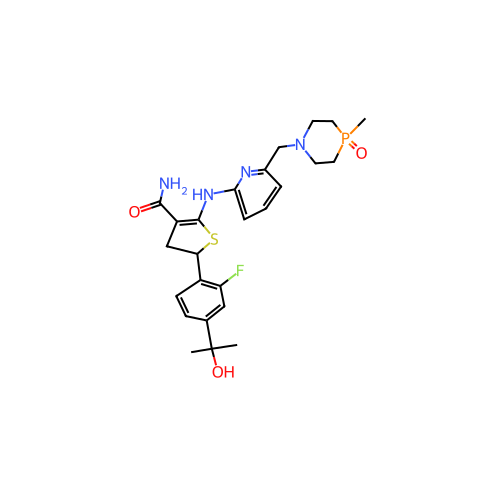 CC(C)(O)c1ccc(C2CC(C(N)=O)=C(Nc3cccc(CN4CCP(C)(=O)CC4)n3)S2)c(F)c1